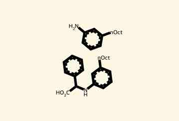 CCCCCCCCc1cccc(N)c1.CCCCCCCCc1cccc(NC(C(=O)O)c2ccccc2)c1